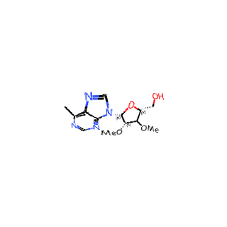 COC1[C@@H](CO)O[C@@H](n2cnc3c(C)ncnc32)[C@H]1OC